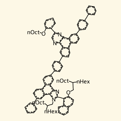 CCCCCCCCOc1ccccc1-c1cnc2c3cc(-c4ccc(-c5ccc6c7ccc(-c8ccccc8)cc7c7c(nc(-c8c(OCC(CCCCCC)CCCCCCCC)ccc9ccccc89)n7CC(CCCCCC)CCCCCCCC)c6c5)cc4)ccc3c3ccc(-c4ccc(-c5ccccc5)cc4)cc3c2n1